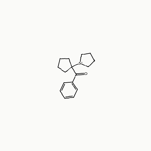 O=C(c1ccccc1)C1([S+]2CCCC2)CCCC1